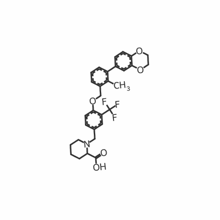 Cc1c(COc2ccc(CN3CCCCC3C(=O)O)cc2C(F)(F)F)cccc1-c1ccc2c(c1)OCCO2